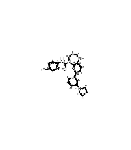 O=C(Nc1ccc(F)cn1)N1CCCNc2ccc(-c3cccc(N4CCCC4)c3)nc21